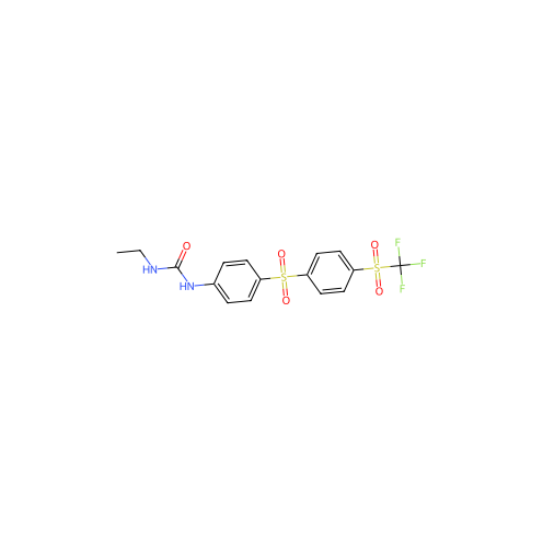 CCNC(=O)Nc1ccc(S(=O)(=O)c2ccc(S(=O)(=O)C(F)(F)F)cc2)cc1